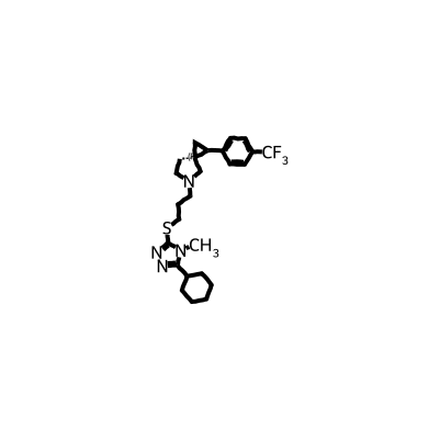 Cn1c(SCCCN2CC[C@@]3(CC3c3ccc(C(F)(F)F)cc3)C2)nnc1C1CCCCC1